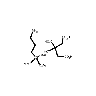 CO[Si](CCCN)(OC)OC.O=C(O)CC(O)(CC(=O)O)C(=O)O